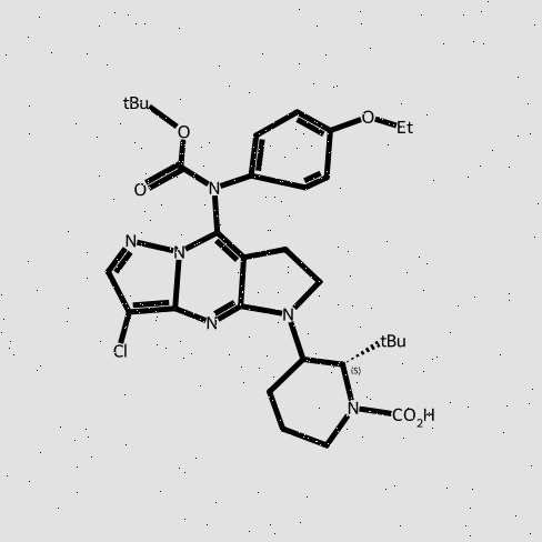 CCOc1ccc(N(C(=O)OC(C)(C)C)c2c3c(nc4c(Cl)cnn24)N(C2CCCN(C(=O)O)[C@H]2C(C)(C)C)CC3)cc1